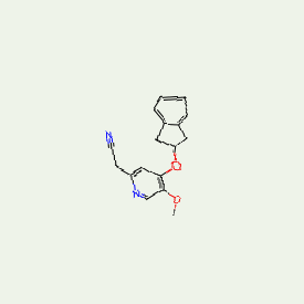 COc1cnc(CC#N)cc1OC1Cc2ccccc2C1